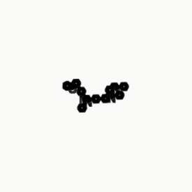 c1ccc(-c2ccc3ccc4c5cc(-c6ccc(-c7cc(-c8ccc(-c9cccc%10c9oc9ccccc9%10)cc8)nc(-c8ccccc8)n7)cc6)ccc5nc(-c5ccccc5)c4c3n2)cc1